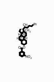 CC(C)CCC[C@@H](C)[C@H]1CC[C@H]2[C@@H]3CC=C4C[C@@H](OC(=O)c5cccc([N+](=O)[O-])c5)CC[C@]4(C)[C@H]3CC[C@]12C